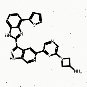 NC1CN(c2cncc(-c3cc4c(-c5nc6c(-c7cccs7)cccc6[nH]5)n[nH]c4cn3)n2)C1